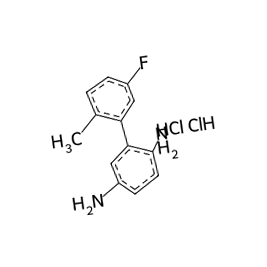 Cc1ccc(F)cc1-c1cc(N)ccc1N.Cl.Cl